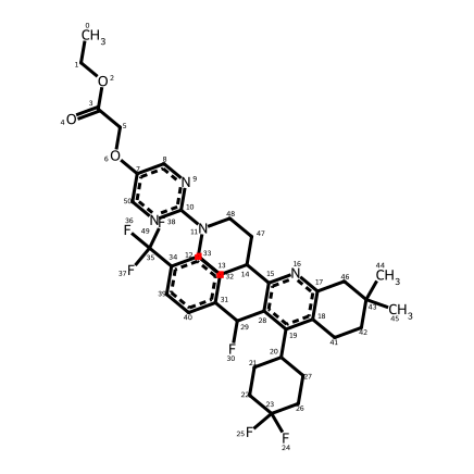 CCOC(=O)COc1cnc(N2CCC(c3nc4c(c(C5CCC(F)(F)CC5)c3C(F)c3ccc(C(F)(F)F)cc3)CCC(C)(C)C4)CC2)nc1